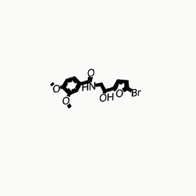 COc1ccc(C(=O)NCC(O)c2ccc(Br)o2)cc1OC